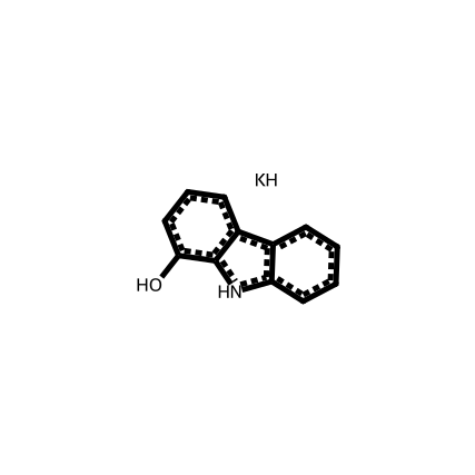 Oc1cccc2c1[nH]c1ccccc12.[KH]